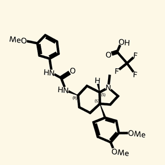 COc1cccc(NC(=O)N[C@@H]2CC[C@@]3(c4ccc(OC)c(OC)c4)CCN(C)[C@H]3C2)c1.O=C(O)C(F)(F)F